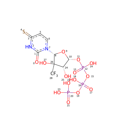 O=c1[nH]c(=S)ccn1[C@@H]1O[C@H](OP(=O)(O)OP(=O)(O)OP(=O)(O)O)[C@H](O)C1(O)C(F)(F)F